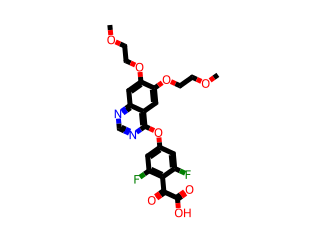 COCCOc1cc2ncnc(Oc3cc(F)c(C(=O)C(=O)O)c(F)c3)c2cc1OCCOC